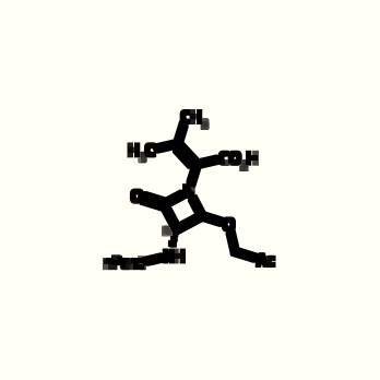 CCCCCN[C@@H]1C(=O)N(C(C(=O)O)=C(C)C)C1OCC(C)=O